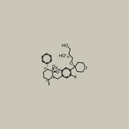 C[C@H]1CC[C@H](c2ccccc2)S(=O)(=O)N1Cc1cc(F)c(C2(OC[C@H](O)CO)CCOCC2)cc1F